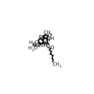 CCCCCCCCC(=O)OCC1=C[C@H]2C(C)(C)[C@](C)(OC(C)=O)C[C@@H](C)[C@]2(O)[C@@H]2C=C(C)C(=O)[C@@]2(O)C1